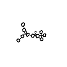 c1ccc(-c2ccc(N(c3ccc(-c4ccccc4)cc3)c3ccc(-c4ccc5c(c4)oc4cc6c(cc45)-c4ccccc4C6(c4ccccc4)c4ccccc4)cc3)cc2)cc1